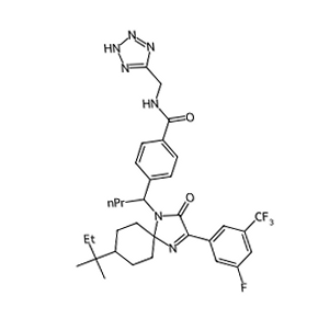 CCCC(c1ccc(C(=O)NCc2nn[nH]n2)cc1)N1C(=O)C(c2cc(F)cc(C(F)(F)F)c2)=NC12CCC(C(C)(C)CC)CC2